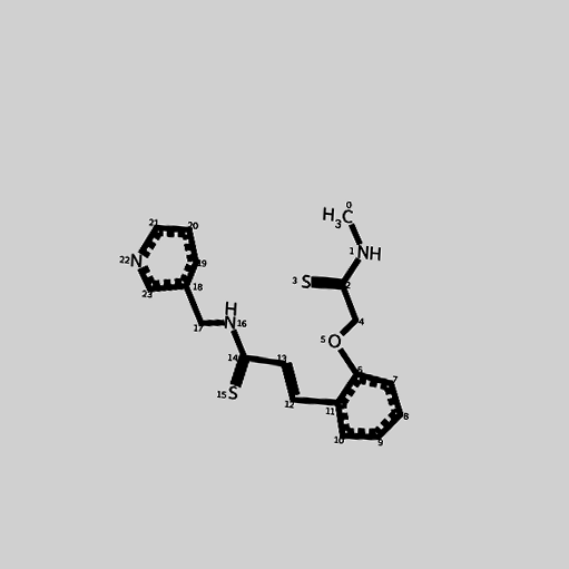 CNC(=S)COc1ccccc1/C=C/C(=S)NCc1cccnc1